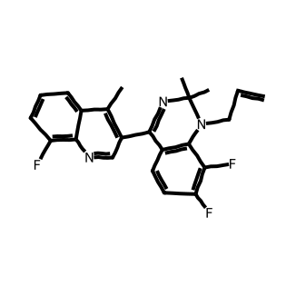 C=CCN1c2c(ccc(F)c2F)C(c2cnc3c(F)cccc3c2C)=NC1(C)C